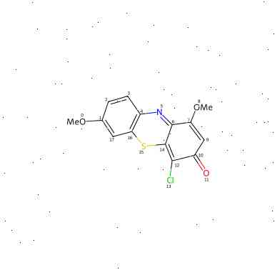 COc1ccc2nc3c(OC)cc(=O)c(Cl)c-3sc2c1